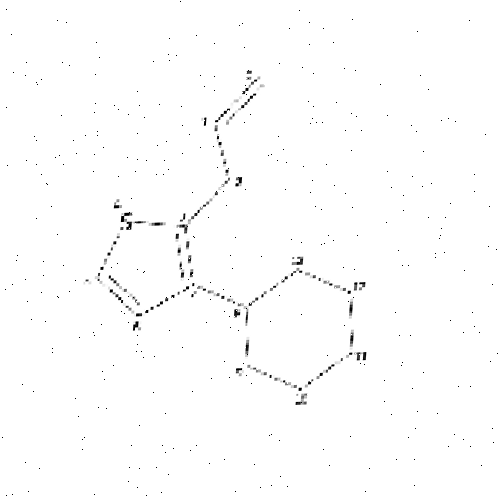 C=CCc1sccc1C1CCCCC1